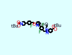 COCCn1c(Cc2cc(F)c(-c3cccc(OCc4ccc(C5=CCN(C(=O)OC(C)(C)C)CC5)cc4F)n3)cc2F)nc2ccc(C(=O)OC(C)(C)C)cc21